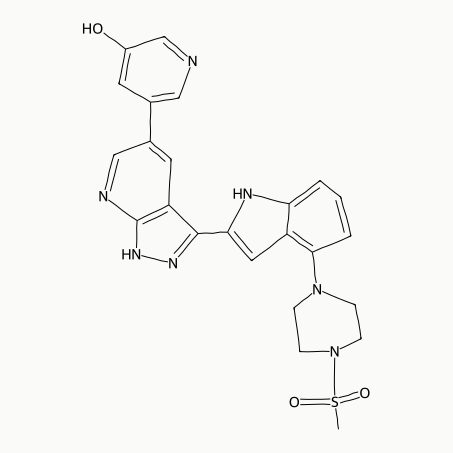 CS(=O)(=O)N1CCN(c2cccc3[nH]c(-c4n[nH]c5ncc(-c6cncc(O)c6)cc45)cc23)CC1